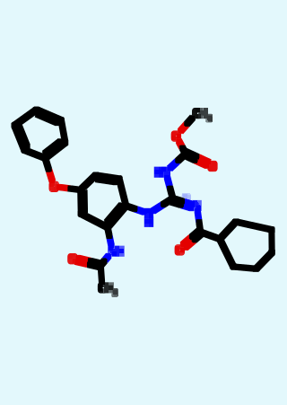 COC(=O)N/C(=N/C(=O)C1CCCCC1)Nc1ccc(Oc2ccccc2)cc1NC(C)=O